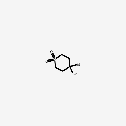 CCC1(C(C)C)CCS(=O)(=O)CC1